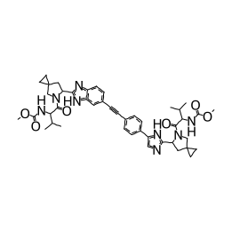 COC(=O)NC(C(=O)N1CC2(CC2)CC1c1ncc(-c2ccc(C#Cc3ccc4nc(C5CC6(CC6)CN5C(=O)C(NC(=O)OC)C(C)C)[nH]c4c3)cc2)[nH]1)C(C)C